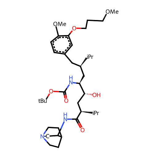 COCCCOc1cc(C[C@H](C[C@H](NC(=O)OC(C)(C)C)[C@H](O)C[C@H](C(=O)NC2CN3CCC2CC3)C(C)C)C(C)C)ccc1OC